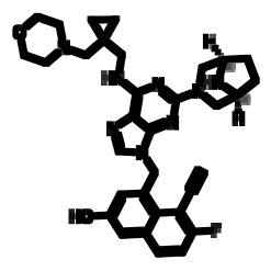 C#Cc1c(F)ccc2cc(O)cc(Cn3cnc4c(NCC5(CN6CCOCC6)CC5)nc(N5C[C@H]6CC[C@@H](C5)N6)nc43)c12